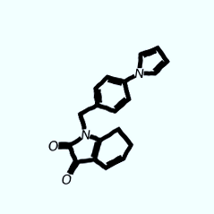 O=C1C(=O)N(Cc2ccc(-n3cccc3)cc2)C2=C1C=CCC2